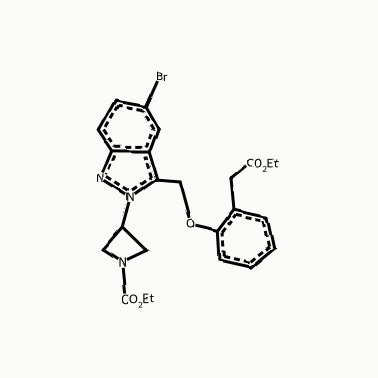 CCOC(=O)Cc1ccccc1OCc1c2cc(Br)ccc2nn1C1CN(C(=O)OCC)C1